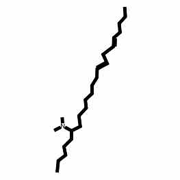 CCCCC=CCC=CCCCCCCCC(CCCCC)N(C)C